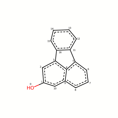 Oc1[c]c2c3c(cccc3c1)-c1ccccc1-2